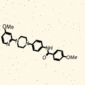 COc1ccc(C(=O)Nc2ccc(N3CCN(c4cc(OC)ccn4)CC3)cc2)cc1